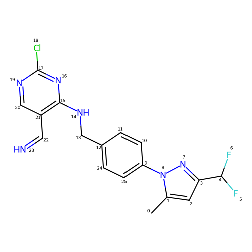 Cc1cc(C(F)F)nn1-c1ccc(CNc2nc(Cl)ncc2C=N)cc1